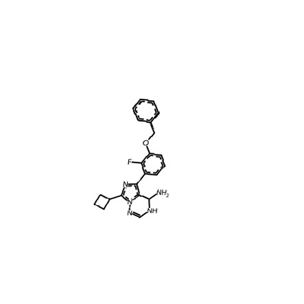 NC1NC=Nn2c(C3CCC3)nc(-c3cccc(OCc4ccccc4)c3F)c21